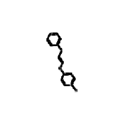 Brc1ccc(OC=CCc2ccccc2)cc1